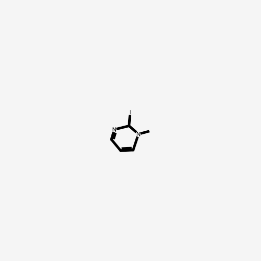 CN1C=CC=NC1I